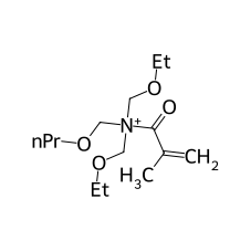 C=C(C)C(=O)[N+](COCC)(COCC)COCCC